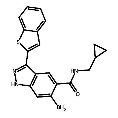 Bc1cc2[nH]nc(-c3cc4ccccc4s3)c2cc1C(=O)NCC1CC1